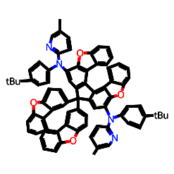 Cc1ccc(N(c2ccc(C(C)(C)C)cc2)c2cc3c(c4c2oc2ccccc24)-c2c(cc(N(c4ccc(C(C)(C)C)cc4)c4ccc(C)cn4)c4oc5ccccc5c24)C3(c2ccc3oc4ccccc4c3c2)c2ccc3oc4ccccc4c3c2)nc1